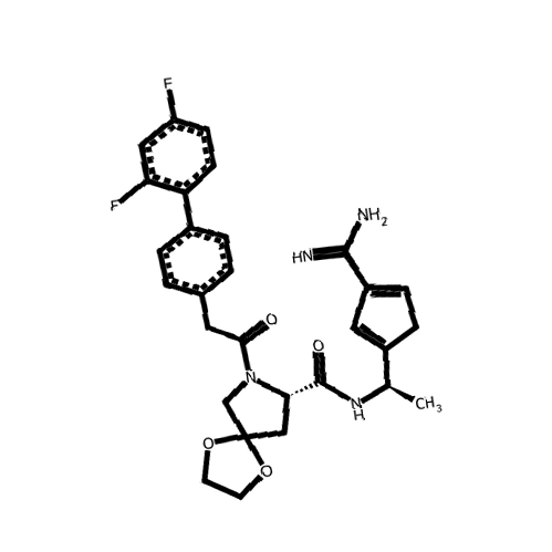 C[C@@H](NC(=O)[C@@H]1CC2(CN1C(=O)Cc1ccc(-c3ccc(F)cc3F)cc1)OCCO2)C1=CC(C(=N)N)=CC1